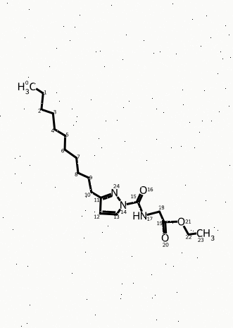 CCCCCCCCCCCc1ccn(C(=O)NCC(=O)OCC)n1